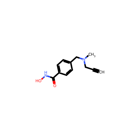 C#CCN(C)Cc1ccc(C(=O)NO)cc1